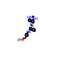 CC(C)OCCc1ccc(/N=N/c2ccc(/N=N/c3ccc4c5c(cccc35)NC(C)(C)N4)c3ccccc23)cc1